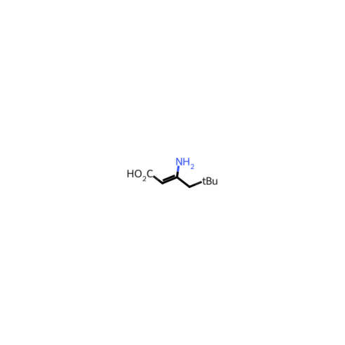 CC(C)(C)C/C(N)=C/C(=O)O